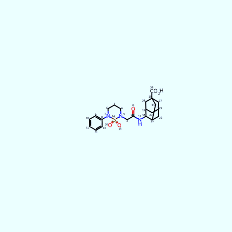 O=C(CN1CCCN(c2ccccc2)S1(=O)=O)NC1C2CC3CC1CC(C(=O)O)(C3)C2